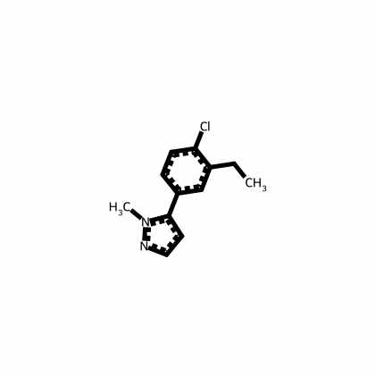 CCc1cc(-c2ccnn2C)ccc1Cl